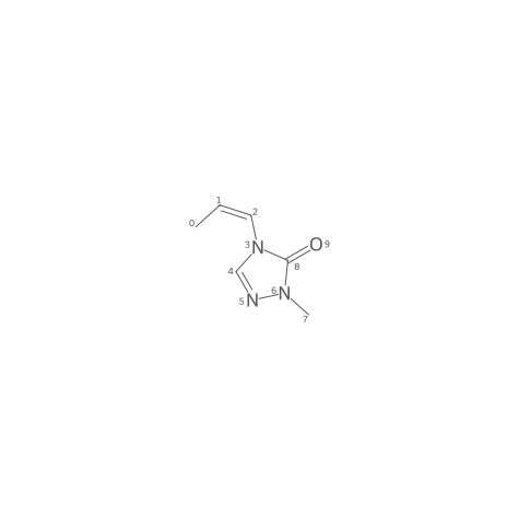 C/C=C\n1cnn(C)c1=O